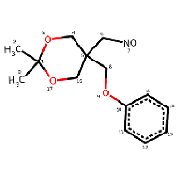 CC1(C)OCC(CN=O)(COc2ccccc2)CO1